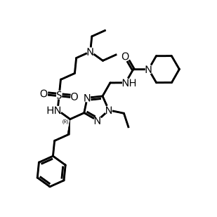 CCN(CC)CCCS(=O)(=O)N[C@H](CCc1ccccc1)c1nc(CNC(=O)N2CCCCC2)n(CC)n1